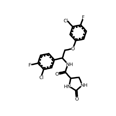 O=C1NCC(C(=O)NC(COc2ccc(F)c(Cl)c2)c2ccc(F)c(Cl)c2)N1